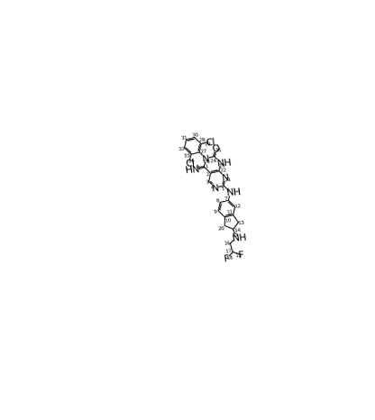 N=c1c2cnc(Nc3ccc4c(c3)CC(NCC(F)F)C4)nc2[nH]c(=O)n1-c1c(Cl)cccc1Cl